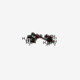 Cc1cc(F)c(Nc2nc(-c3ccc4c(c3)N([C@H]3C[C@@H](N5CCCCC5)C3)C(=O)C43CCN(C(=O)CCCCCCCCCC(=O)N[C@H](C(=O)N4C[C@H](O)C[C@H]4C(=O)N[C@@H](C)c4ccc(-c5scnc5C)cc4)C(C)(C)C)CC3)cc3ncn(C(C)C)c23)cc1C(=O)NC(C)C